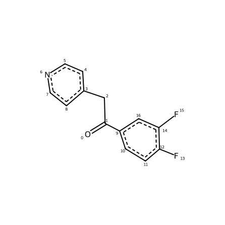 O=C(Cc1ccncc1)c1ccc(F)c(F)c1